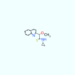 COC(C(=S)NC1CC1)c1ccc2ccccc2n1